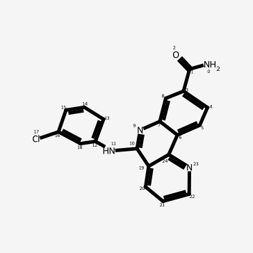 NC(=O)c1ccc2c(c1)nc(Nc1cccc(Cl)c1)c1cccnc12